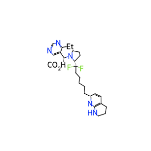 CCc1ncncc1C(C(=O)O)N1CCC[C@@H]1C(F)(F)CCCCCc1ccc2c(n1)NCCC2